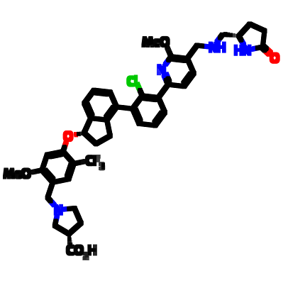 COc1cc(O[C@H]2CCc3c(-c4cccc(-c5ccc(CNC[C@@H]6CCC(=O)N6)c(OC)n5)c4Cl)cccc32)c(C(F)(F)F)cc1CN1CC[C@H](C(=O)O)C1